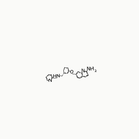 Nc1ccc2ccc(COc3cccc(CNCc4ccccn4)c3)cc2n1